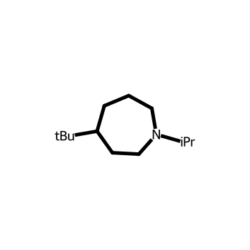 CC(C)N1CCCC(C(C)(C)C)CC1